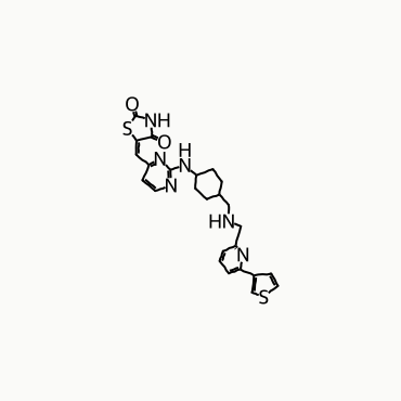 O=C1NC(=O)/C(=C\c2ccnc(NC3CCC(CNCc4cccc(-c5ccsc5)n4)CC3)n2)S1